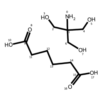 NC(CO)(CO)CO.O=C(O)CCCCC(=O)O